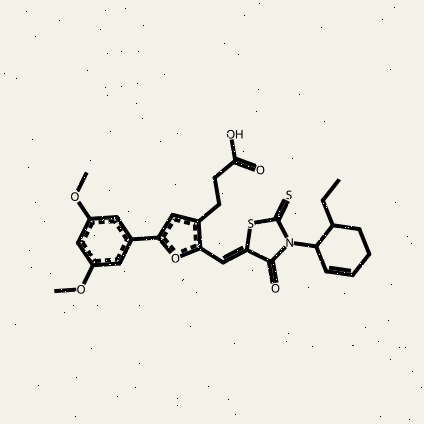 CCC1CCC=CC1N1C(=O)/C(=C/c2oc(-c3cc(OC)cc(OC)c3)cc2CCC(=O)O)SC1=S